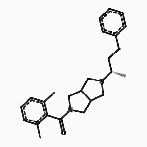 Cc1cccc(C)c1C(=O)N1CC2CN([C@@H](C)C[CH]c3ccccc3)CC2C1